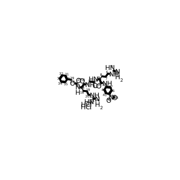 Cl.Cl.N=C(N)NCCC[C@H](NC(=O)CNC(=O)[C@@H](CCCNC(=N)N)NC(=O)OCc1ccccc1)C(=O)Nc1ccc([N+](=O)[O-])cc1